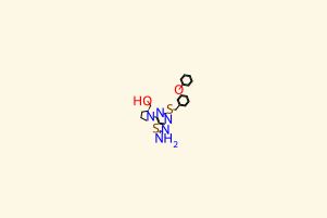 Nc1nc2nc(SCc3cccc(Oc4ccccc4)c3)nc(N3CCC[C@H]3CO)c2s1